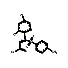 Cc1ccc(S(=O)(=O)/C(=C\C(=O)C(C)(C)C)c2ccc(Cl)cc2Cl)cc1